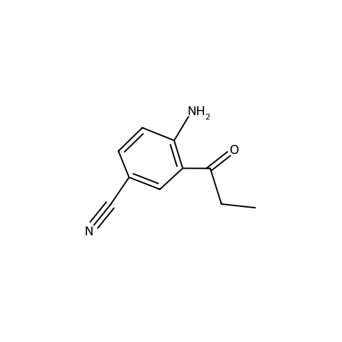 CCC(=O)c1cc(C#N)ccc1N